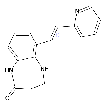 O=C1CCNc2c(/C=C/c3ccccn3)cccc2N1